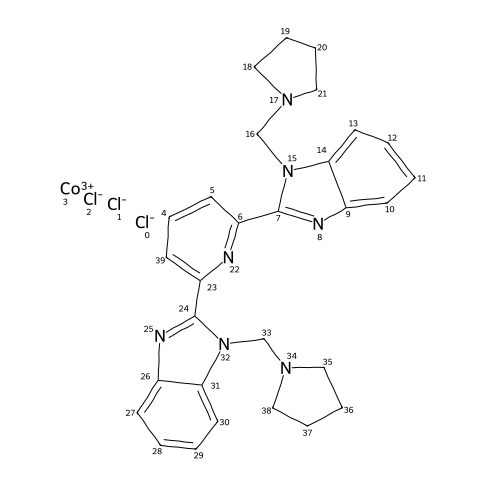 [Cl-].[Cl-].[Cl-].[Co+3].c1cc(-c2nc3ccccc3n2CN2CCCC2)nc(-c2nc3ccccc3n2CN2CCCC2)c1